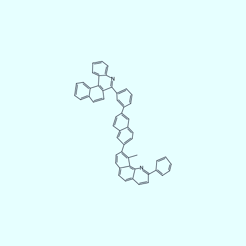 Cc1c(-c2ccc3cc(-c4cccc(-c5nc6ccccc6c6c5ccc5ccccc56)c4)ccc3c2)ccc2ccc3ccc(-c4ccccc4)nc3c12